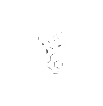 C#Cc1nc(-c2ccc3c4c(cccc24)CC3)c(F)c2nc(OC)nc(N3CC4CCC(C3)N4)c12